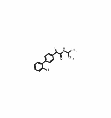 CC(C)NC(=O)C(Cl)c1ccc(-c2ccccc2Cl)cc1